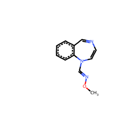 CON=CN1C=CN=Cc2ccccc21